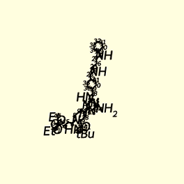 CCOP(=O)(CCCN1CCN(c2nc(N)nc(NCC3CCC(CNCCCNC4CCCCC4)CC3)n2)CC1C(=O)NC(C)(C)C)OCC